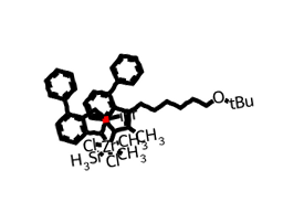 CC1=C(CCCCCCOC(C)(C)C)c2c(-c3ccccc3)cccc2[CH]1[Zr]([CH3])([CH3])([SiH3])([Cl])([Cl])[CH]1C(C(C)C)=Cc2c(-c3ccccc3)cccc21